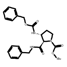 CC(C)(C)OC(=O)N1CC[C@@H](NC(=O)OCc2ccccc2)[C@@H]1C(=O)NCc1ccccc1